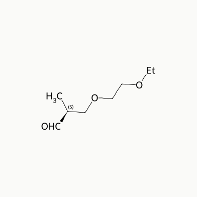 CCOCCOC[C@H](C)C=O